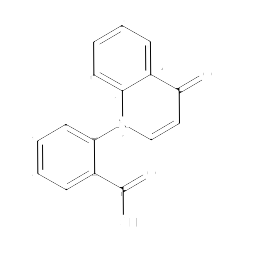 CC(=O)c1ccccc1-n1ccc(=O)c2ccccc21